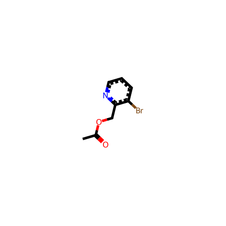 CC(=O)OCc1ncccc1Br